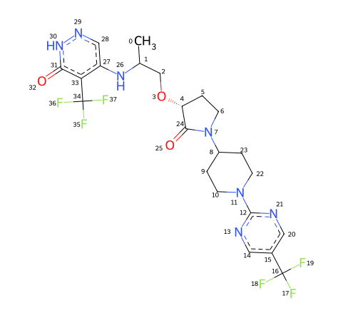 CC(CO[C@@H]1CCN(C2CCN(c3ncc(C(F)(F)F)cn3)CC2)C1=O)Nc1cn[nH]c(=O)c1C(F)(F)F